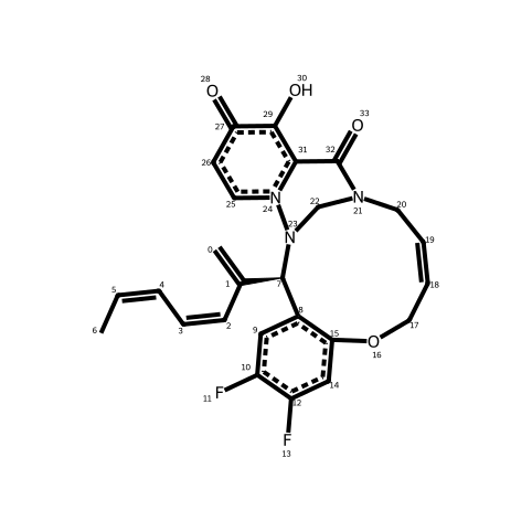 C=C(/C=C\C=C/C)[C@@H]1c2cc(F)c(F)cc2OC/C=C\CN2CN1n1ccc(=O)c(O)c1C2=O